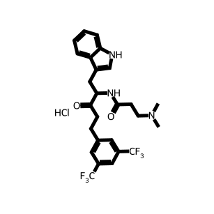 CN(C)CCC(=O)NC(Cc1c[nH]c2ccccc12)C(=O)CCc1cc(C(F)(F)F)cc(C(F)(F)F)c1.Cl